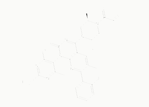 C=CC(=O)N1C[C@H](C)N(c2nc(=O)n(-c3c(C(C)C)nc(C(=O)O)nc3C(C)C)c3nc(-c4ccccc4F)c(F)cc23)C[C@H]1C